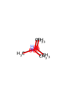 CCCCCCCCCCCCCCOC(=O)CNCCN(CCN(CCN(CC(=O)OCCCCCCCCCCCCCC)CC(=O)OCCCCCCCCCCCCCC)CC(=O)OCCCCCCCCCCCCCC)CC(=O)OCCCCCCCCCCCCCC